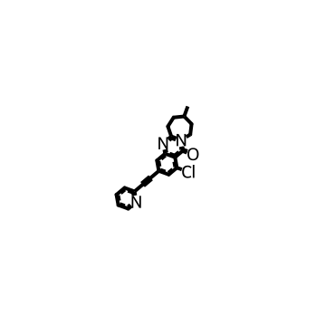 CC1CCc2nc3cc(C#Cc4ccccn4)cc(Cl)c3c(=O)n2CC1